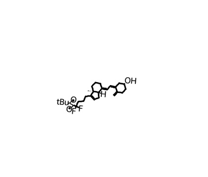 C=C1CCC(O)C/C1=C/C=C1\CCC[C@]2(C)C(CCCC(F)(F)S(=O)(=O)C(C)(C)C)=CC[C@@H]12